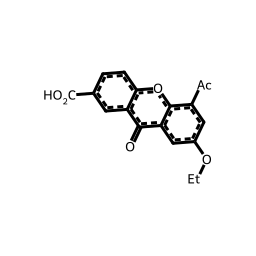 CCOc1cc(C(C)=O)c2oc3ccc(C(=O)O)cc3c(=O)c2c1